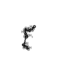 Cc1c(NC(=O)c2cc3c(s2)CCCC3)cccc1-c1cn(C)c(=O)c(Nc2ccc([C@@H]3C(=O)N(CCCCCNc4cccc5c4CN(C4CCC(=O)NC4=O)C5=O)CCN3C)cc2)n1